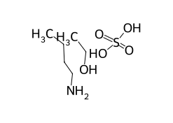 CCCCN.CCO.O=S(=O)(O)O